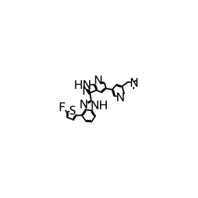 CN(C)Cc1cncc(-c2cnc3[nH]nc(-c4nc5c(-c6ccc(F)s6)cccc5[nH]4)c3c2)c1